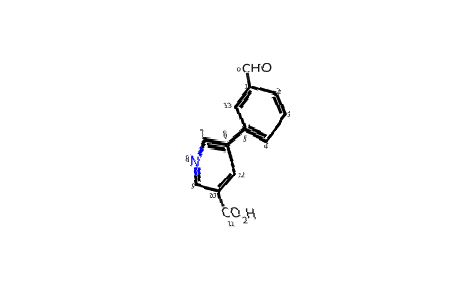 O=Cc1cccc(-c2cncc(C(=O)O)c2)c1